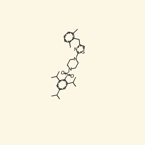 Cc1cccc(C)c1Cc1csc(N2CCN(S(=O)(=O)c3c(C(C)C)cc(C(C)C)cc3C(C)C)CC2)n1